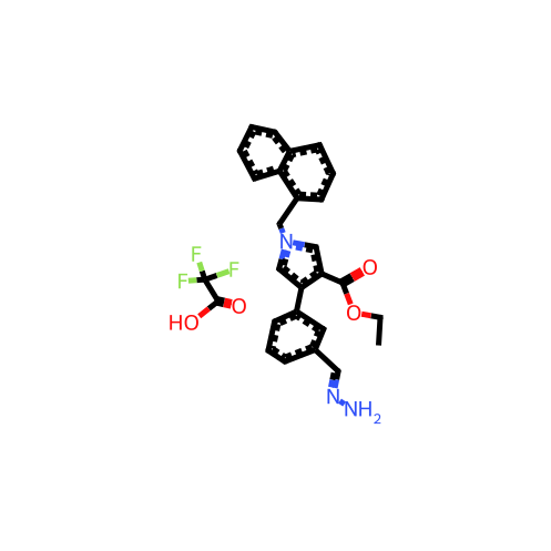 CCOC(=O)c1cn(Cc2cccc3ccccc23)cc1-c1cccc(C=NN)c1.O=C(O)C(F)(F)F